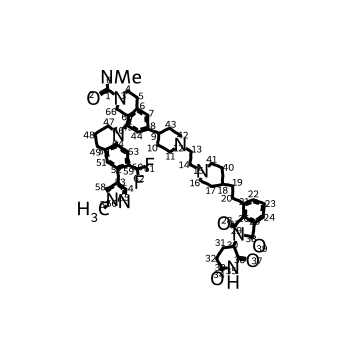 CNC(=O)N1CCc2cc(C3CCN(CCN4CCC(CCc5cccc6c5C(=O)N(C5CCC(=O)NC5=O)C6=O)CC4)CC3)cc(N3CCCc4cc(-c5cnn(C)c5)c(C(F)F)cc43)c2C1